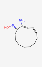 N/C1=C\C=C/CCCCCCCC1=NO